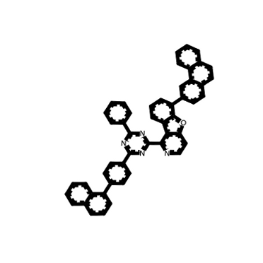 c1ccc(-c2nc(-c3ccc(-c4cccc5ccccc45)cc3)nc(-c3nccc4oc5c(-c6ccc7ccc8ccccc8c7c6)cccc5c34)n2)cc1